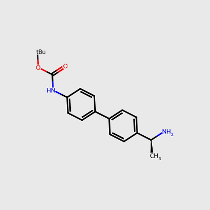 C[C@H](N)c1ccc(-c2ccc(NC(=O)OC(C)(C)C)cc2)cc1